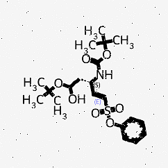 CC(C)(C)OC(=O)N[C@H](/C=C/S(=O)(=O)Oc1ccccc1)CC(O)OC(C)(C)C